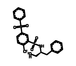 O=S(=O)(N[C@H](CO)Cc1ccccc1)c1cc(S(=O)(=O)c2ccccc2)ccc1C(F)(F)F